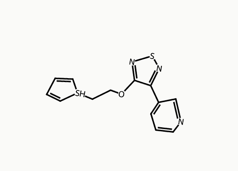 C1=C[SH](CCOc2nsnc2-c2cccnc2)C=C1